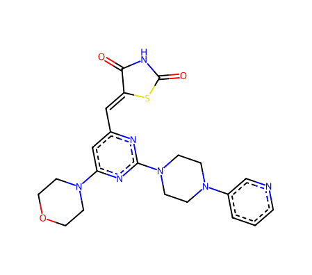 O=C1NC(=O)C(=Cc2cc(N3CCOCC3)nc(N3CCN(c4cccnc4)CC3)n2)S1